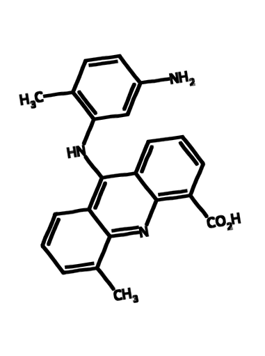 Cc1ccc(N)cc1Nc1c2cccc(C)c2nc2c(C(=O)O)cccc12